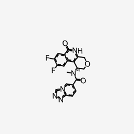 CN(C(=O)c1ccc2nncn2c1)[C@@H]1COCc2[nH]c(=O)c3cc(F)c(F)cc3c21